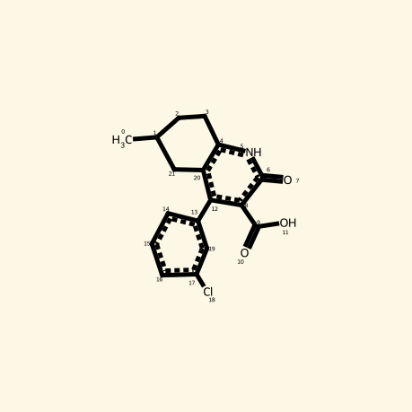 CC1CCc2[nH]c(=O)c(C(=O)O)c(-c3cccc(Cl)c3)c2C1